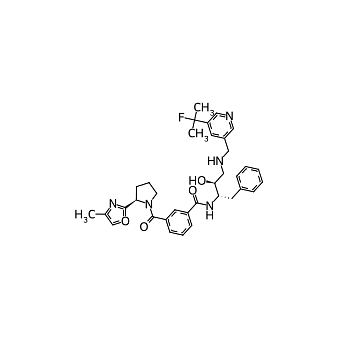 Cc1coc([C@H]2CCCN2C(=O)c2cccc(C(=O)N[C@@H](Cc3ccccc3)[C@@H](O)CNCc3cncc(C(C)(C)F)c3)c2)n1